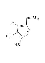 C=Cc1ccc(C)c(C)c1CC